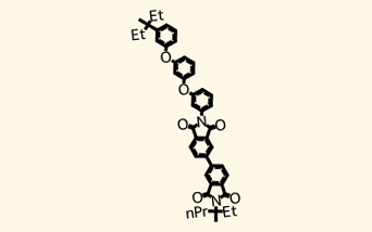 CCCC(C)(CC)N1C(=O)c2ccc(-c3ccc4c(c3)C(=O)N(c3cccc(Oc5cccc(Oc6cccc(C(C)(CC)CC)c6)c5)c3)C4=O)cc2C1=O